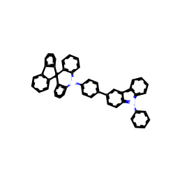 c1ccc(-n2c3ccccc3c3cc(-c4ccc(N5c6ccccc6C6(c7ccccc7-c7ccccc76)c6ccccc65)cc4)ccc32)cc1